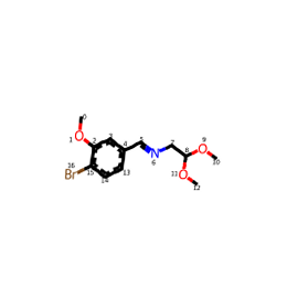 COc1cc(C=NCC(OC)OC)ccc1Br